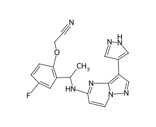 CC(Nc1ccn2ncc(-c3cn[nH]c3)c2n1)c1cc(F)ccc1OCC#N